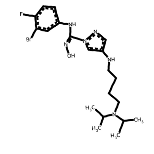 CC(C)N(CCCCNc1cnn(C(=NO)Nc2ccc(F)c(Br)c2)c1)C(C)C